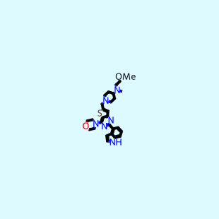 COCCN(C)C1CCN(Cc2cc3nc(-c4cccc5[nH]ccc45)nc(N4CCOCC4)c3s2)CC1